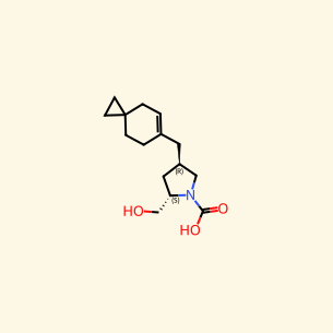 O=C(O)N1C[C@H](CC2=CCC3(CC2)CC3)C[C@H]1CO